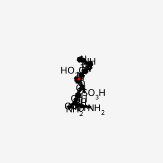 Cc1c(-c2ccc(N3CCc4cccc(C(=O)Nc5nc6ccccc6s5)c4C3)nc2C(=O)O)cnn1CC12CC3(C)CC(C)(C1)CC(OCCN(CCS(=O)(=O)O)C(=O)OCc1ccc(NC(=O)[C@H](CCCNC(N)=O)NC(=O)[C@@H](NC(=O)CCCCCN)C(C)C)cc1)(C3)C2